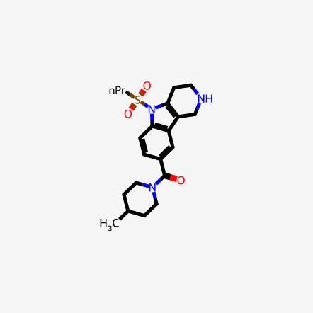 CCCS(=O)(=O)n1c2c(c3cc(C(=O)N4CCC(C)CC4)ccc31)CNCC2